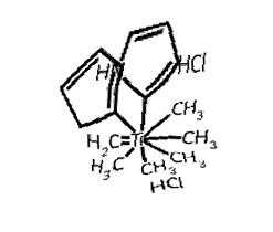 Cl.Cl.[CH2]=[Ti]([CH3])([CH3])([CH3])([CH3])([CH3])([C]1=CC=CC1)[c]1ccc[nH]1